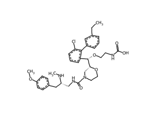 CCc1cccc(-c2c(Cl)cccc2[C@H](OCCNC(=O)O)[C@H]2CN(C(=O)NC[C@H](Cc3ccc(OC)cc3)NC)CCO2)c1